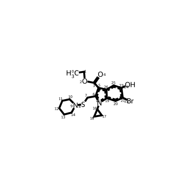 CCOC(=O)c1c(CSN2CCCCC2)n(C2CC2)c2cc(Br)c(O)cc12